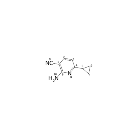 N#Cc1ccc(C2CC2)nc1N